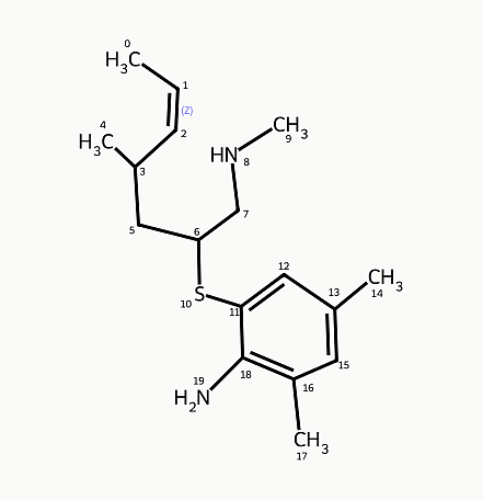 C/C=C\C(C)CC(CNC)Sc1cc(C)cc(C)c1N